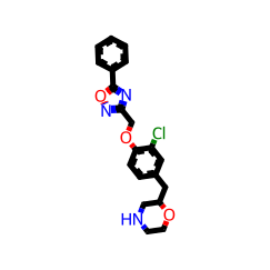 Clc1cc(CC2CNCCO2)ccc1OCc1noc(-c2ccccc2)n1